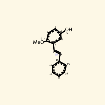 COc1ccc(O)cc1/C=C/c1ccccc1